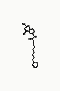 N#Cc1cc(=O)c2cc(NC(=O)CCCCCCCCc3ccccc3)ccc2o1